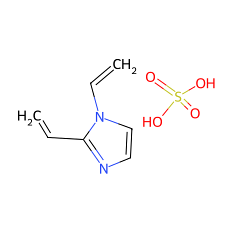 C=Cc1nccn1C=C.O=S(=O)(O)O